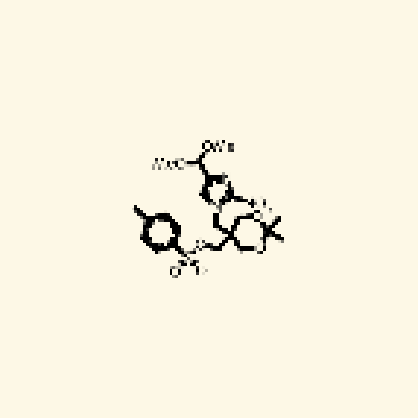 COC(OC)c1cn(CC2(COS(=O)(=O)c3ccc(C)cc3)COC(C)(C)OC2)c([N+](=O)[O-])n1